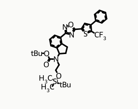 CC(C)(C)OC(=O)N(CCO[Si](C)(C)C(C)(C)C)C1CCc2c(-c3noc(-c4cc(-c5ccccc5)c(C(F)(F)F)s4)n3)cccc21